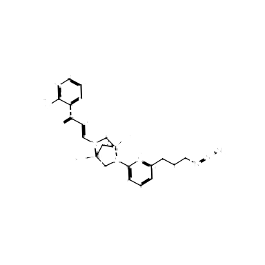 [N-]=[N+]=NCCCc1cccc(N2C[C@H]3C[C@@H]2CN3/C=C/C(=O)c2ccccc2O)n1